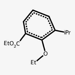 CCOC(=O)c1cccc(C(C)C)c1OCC